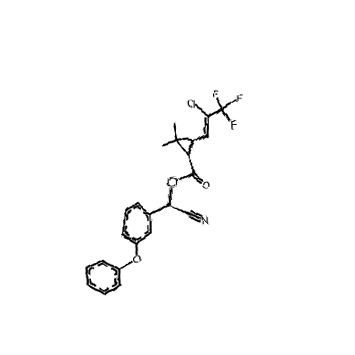 CC1(C)[C@H](C(=O)O[C@@H](C#N)c2cccc(Oc3ccccc3)c2)[C@@H]1/C=C(\Cl)C(F)(F)F